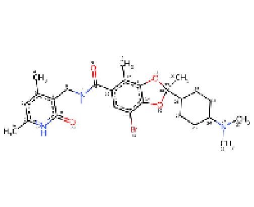 Cc1cc(C)c(CNC(=O)c2cc(Br)c3c(c2C)O[C@@](C)(C2CCC(N(C)C)CC2)O3)c(=O)[nH]1